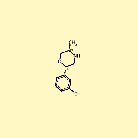 Cc1cccc([C@H]2CN[C@H](C)CO2)c1